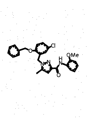 COc1ccccc1NC(=O)c1cc(C)n(Cc2cc(Cl)ccc2OCc2ccccc2)n1